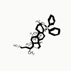 C[C@H](CCC(=O)O)[C@H]1CC[C@H]2[C@@H]3CCC4C[C@@](O)(O[Si](c5ccccc5)(c5ccccc5)C(C)(C)C)CC[C@]4(C)[C@H]3CC[C@]12C